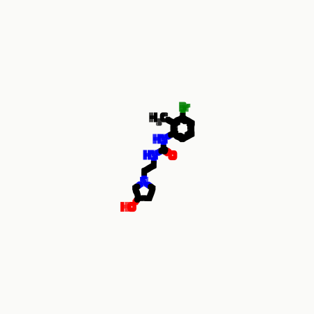 Cc1c(Br)cccc1NC(=O)NCCN1CCC(O)C1